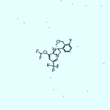 Fc1cccc2c1COC[C@@]21CN2C=C(C(F)(F)F)C=C(OC(F)F)C2=N1